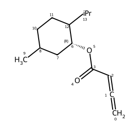 C=C=CC(=O)O[C@@H]1CC(C)CCC1C(C)C